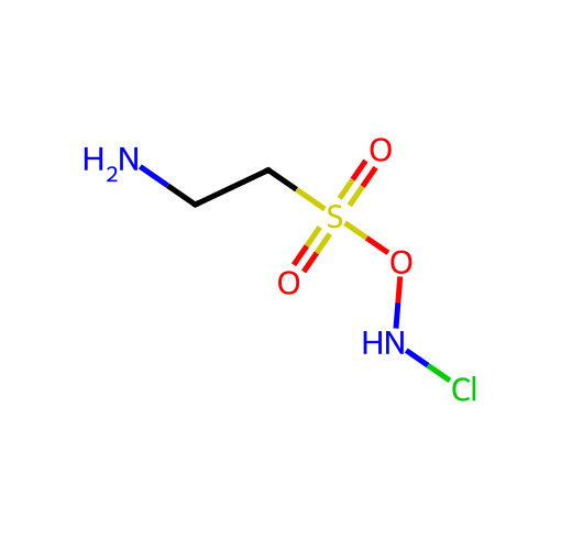 NCCS(=O)(=O)ONCl